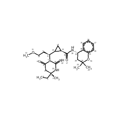 CC[C@]1(C)CC(=O)N([C@@H](CCOC)C2C[C@H]2C(=O)N[C@H]2CC(C)(C)Oc3ccccc32)C(=N)N1